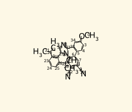 COc1ccc2c3cc(C#N)c(C#N)cc3n3c(-c4c(C(C)C)cccc4C(C)C)cnc3c2c1